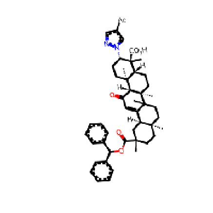 CC(=O)c1cnn([C@H]2CC[C@@]3(C)[C@@H](CC[C@]4(C)[C@@H]3C(=O)C=C3[C@@H]5C[C@@](C)(C(=O)OC(c6ccccc6)c6ccccc6)CC[C@]5(C)CC[C@]34C)[C@]2(C)C(=O)O)c1